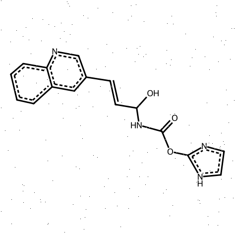 O=C(NC(O)C=Cc1cnc2ccccc2c1)Oc1ncc[nH]1